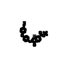 CC(C)(C)OC(=O)N1CCN2C(=O)N(Cc3ccc(Oc4ccc(C#N)cc4)cc3)C[C@@H]2C1